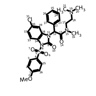 COc1ccc(S(=O)(=O)n2c(=O)n(C(C(=O)N(C)CCN(C)C)c3ccccc3)c3cc(Cl)ccc32)cc1